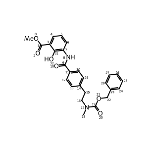 COC(=O)c1cccc(NC(=O)c2ccc(CCN(C)C(=O)OCc3ccccc3)cc2)c1O